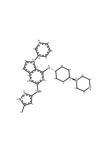 Cc1cc(Nc2nc(O[C@H]3CC[C@H](N4CCOCC4)CC3)c3c(ccn3-c3cccnc3)n2)sn1